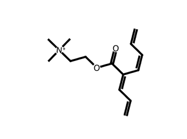 C=C/C=C\C(=C/C=C)C(=O)OCC[N+](C)(C)C